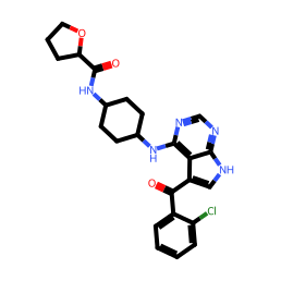 O=C(c1ccccc1Cl)c1c[nH]c2ncnc(NC3CCC(NC(=O)C4CCCO4)CC3)c12